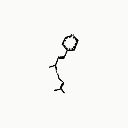 CC(C)=CCCC(C)C=Cc1ccncc1